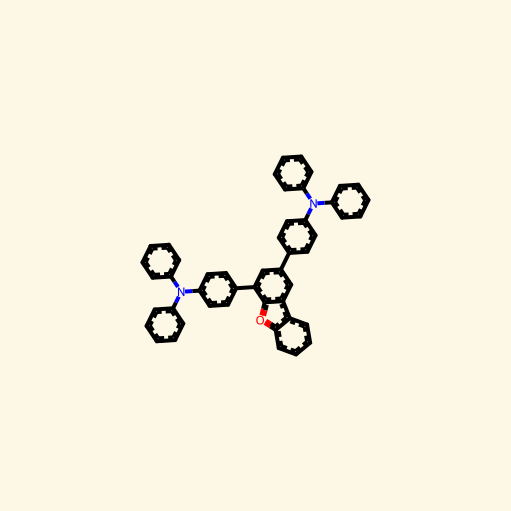 c1ccc(N(c2ccccc2)c2ccc(-c3cc(-c4ccc(N(c5ccccc5)c5ccccc5)cc4)c4oc5ccccc5c4c3)cc2)cc1